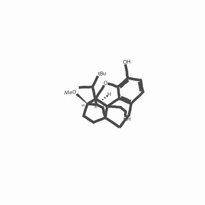 CO[C@]12CCC3(C[C@@H]1C(C)C(C)(C)C)C1Cc4ccc(O)c5c4C3(CCN1)C2O5